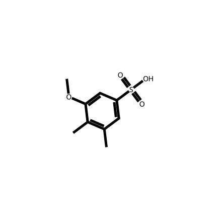 COc1cc(S(=O)(=O)O)cc(C)c1C